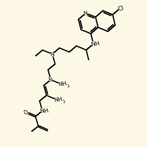 C=C(C)C(=O)NC/C(N)=C/N(N)CCN(CC)CCCC(C)Nc1ccnc2cc(Cl)ccc12